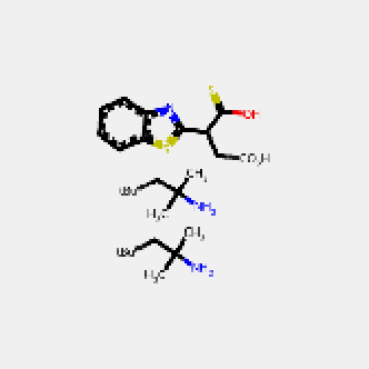 CC(C)(C)CC(C)(C)N.CC(C)(C)CC(C)(C)N.O=C(O)CC(C(O)=S)c1nc2ccccc2s1